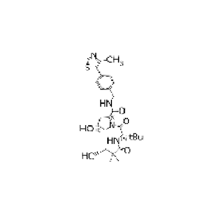 C#CCC1(C(=O)N[C@H](C(=O)N2C[C@H](O)C[C@H]2C(=O)NCc2ccc(-c3scnc3C)cc2)C(C)(C)C)CC1